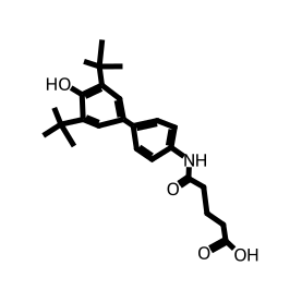 CC(C)(C)c1cc(-c2ccc(NC(=O)CCCC(=O)O)cc2)cc(C(C)(C)C)c1O